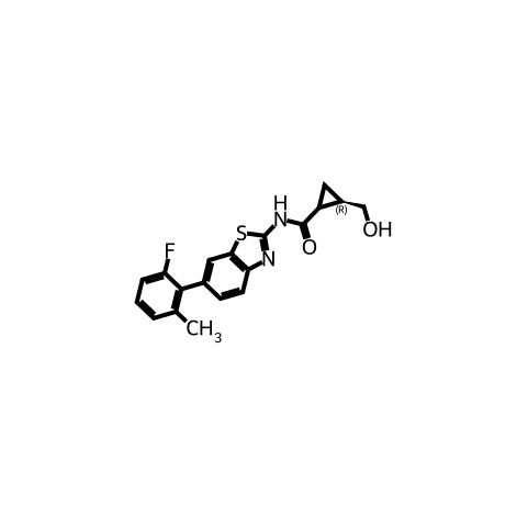 Cc1cccc(F)c1-c1ccc2nc(NC(=O)C3C[C@H]3CO)sc2c1